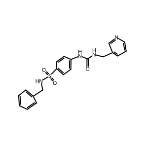 O=C(NCc1cccnc1)Nc1ccc(S(=O)(=O)NCc2ccccc2)cc1